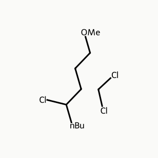 CCCCC(Cl)CCCOC.ClCCl